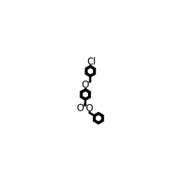 O=C(OCc1ccccc1)c1ccc(OCc2ccc(Cl)cc2)cc1